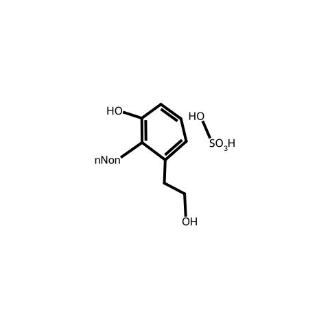 CCCCCCCCCc1c(O)cccc1CCO.O=S(=O)(O)O